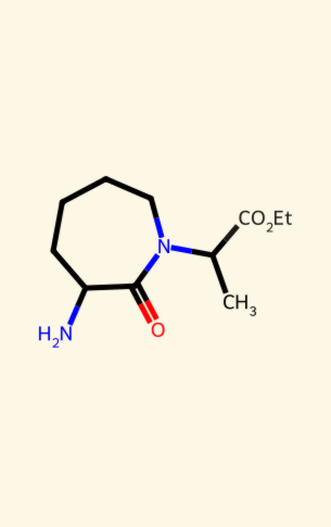 CCOC(=O)C(C)N1CCCCC(N)C1=O